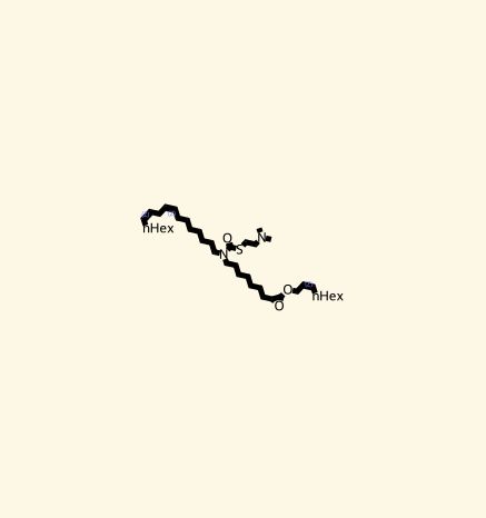 CCCCCC/C=C\C/C=C\CCCCCCCN(CCCCCCCC1OC1OC/C=C\CCCCCC)C(=O)SCCN(C)C